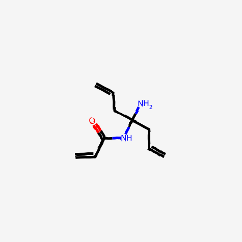 C=CCC(N)(CC=C)NC(=O)C=C